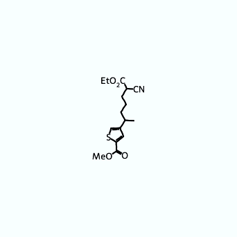 CCOC(=O)C(C#N)CCCC(C)c1csc(C(=O)OC)c1